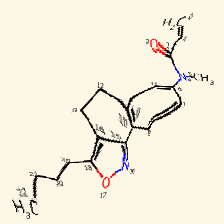 C=CC(=O)N(C)c1ccc2c(c1)CCc1c-2noc1CCCC